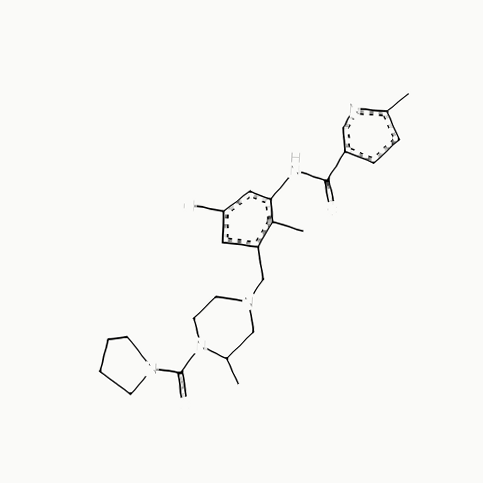 Cc1ccc(C(=O)Nc2cc(Cl)cc(CN3CCN(C(=O)N4CCCC4)C(C)C3)c2C)cn1